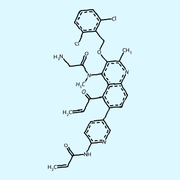 C=CC(=O)Nc1ccc(-c2ccc3nc(C)c(OCc4c(Cl)cccc4Cl)c(N(C)C(=O)CN)c3c2C(=O)C=C)cn1